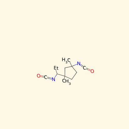 CCC(N=C=O)C1(C)CCC(C)(N=C=O)C1